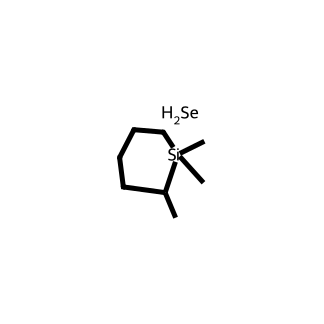 CC1CCCC[Si]1(C)C.[SeH2]